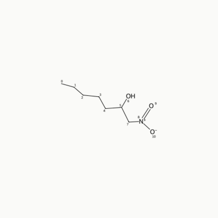 CCCCCC(O)C[N+](=O)[O-]